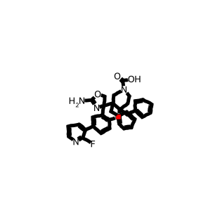 NC1=NC2(CO1)c1cc(-c3cccnc3F)ccc1OC1(Cc3ccccc3)CCN(C(=O)O)CC12Cc1ccccc1